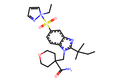 CCC(C)(C)c1nc2cc(S(=O)(=O)[N+]3(CC)C=CC=N3)ccc2n1CC1(C(N)=O)CCOCC1